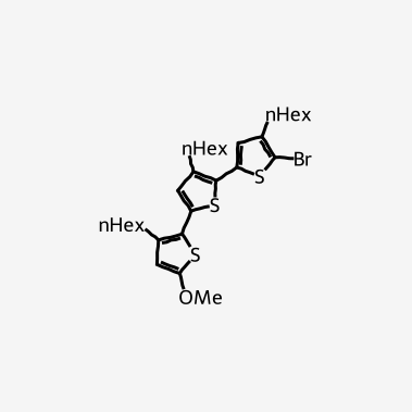 CCCCCCc1cc(-c2sc(-c3sc(OC)cc3CCCCCC)cc2CCCCCC)sc1Br